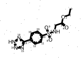 CCOC(=O)CNS(=O)(=O)c1ccc(-c2nn[nH]n2)cc1